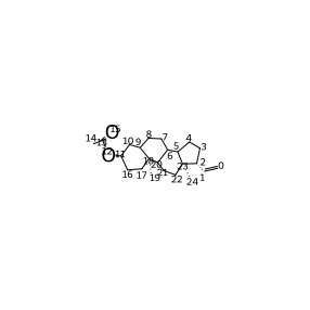 C=C[C@H]1CCC2C3CCC4C[C@H](OC(C)=O)CC[C@]4(C)C3CC[C@@]21C